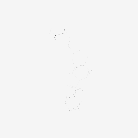 C[C@@H](NCC1CCc2ccc(S(=O)(=O)c3ccccc3)cc2O1)C(N)=O